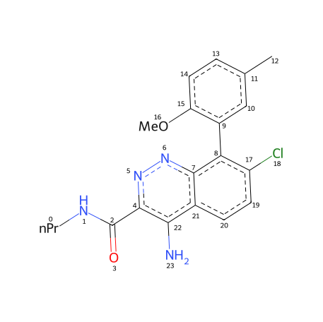 CCCNC(=O)c1nnc2c(-c3cc(C)ccc3OC)c(Cl)ccc2c1N